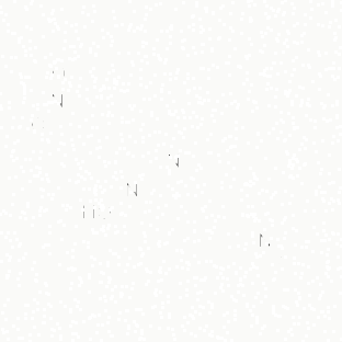 O=[N+]([O-])c1ccc2nc(-c3cccc(-n4cccc4)c3)n(O)c2c1